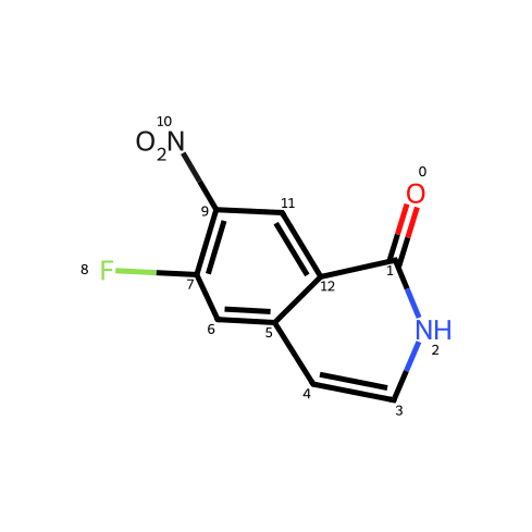 O=c1[nH]ccc2cc(F)c([N+](=O)[O-])cc12